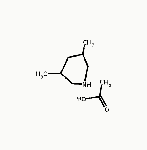 CC(=O)O.CC1CNCC(C)C1